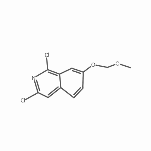 COCOc1ccc2cc(Cl)nc(Cl)c2c1